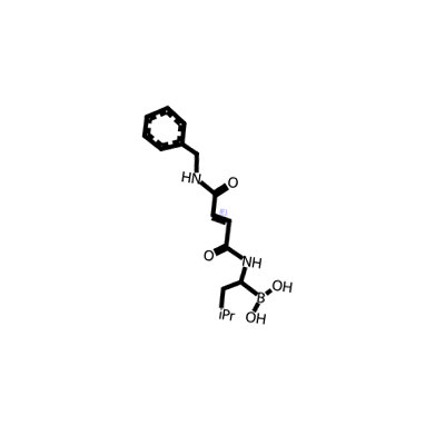 CC(C)CC(NC(=O)/C=C/C(=O)NCc1ccccc1)B(O)O